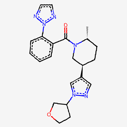 C[C@@H]1CC[C@@H](c2cnn(C3CCOC3)c2)CN1C(=O)c1ccccc1-n1nccn1